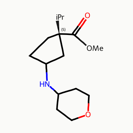 COC(=O)[C@@]1(C(C)C)CCC(NC2CCOCC2)C1